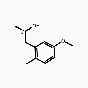 COc1ccc(C)c(C[C@@H](C)O)c1